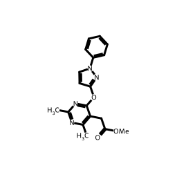 COC(=O)Cc1c(C)nc(C)nc1Oc1ccn(-c2ccccc2)n1